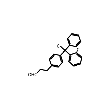 O=CCCc1ccc(C(Cl)(c2ccccc2)c2ccccc2Cl)cc1